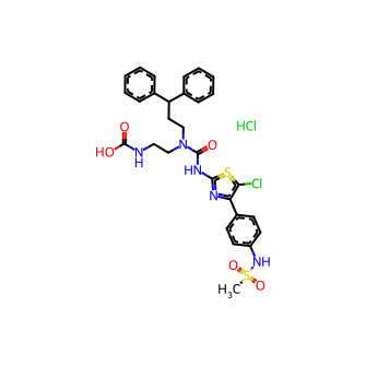 CS(=O)(=O)Nc1ccc(-c2nc(NC(=O)N(CCNC(=O)O)CCC(c3ccccc3)c3ccccc3)sc2Cl)cc1.Cl